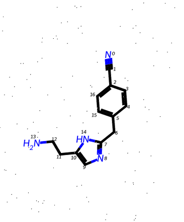 N#Cc1ccc(Cc2ncc(CCN)[nH]2)cc1